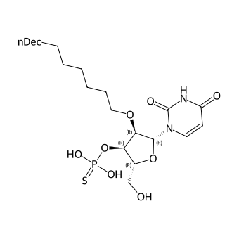 CCCCCCCCCCCCCCCCO[C@@H]1[C@H](OP(O)(O)=S)[C@@H](CO)O[C@H]1n1ccc(=O)[nH]c1=O